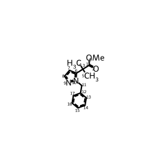 COC(=O)C(C)(C)c1ccnn1Cc1ccccc1